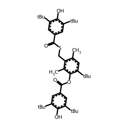 Cc1cc(C(C)(C)C)c(OC(=O)c2cc(C(C)(C)C)c(O)c(C(C)(C)C)c2)c(C)c1CSC(=O)c1cc(C(C)(C)C)c(O)c(C(C)(C)C)c1